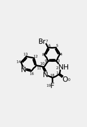 O=C1Nc2ccc(Br)cc2C(c2cccnc2)=NC1F